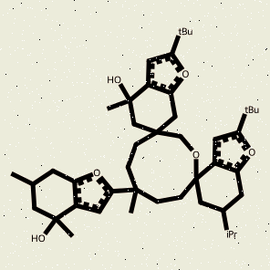 CC1Cc2oc(C3(C)CCC4(COC5(CC3)CC(C(C)C)Cc3oc(C(C)(C)C)cc35)Cc3oc(C(C)(C)C)cc3C(C)(O)C4)cc2C(C)(O)C1